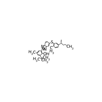 CCCC(I)c1ccc(C)c(Sc2ccc3nn(-c4cc(C)cc(C(C)(C)C)c4O)nc3c2)c1